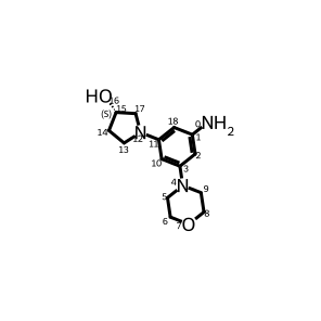 Nc1cc(N2CCOCC2)cc(N2CC[C@H](O)C2)c1